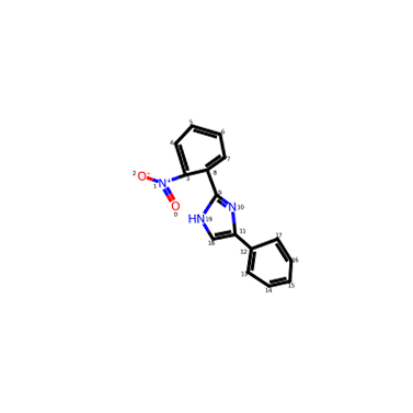 O=[N+]([O-])c1ccccc1-c1nc(-c2ccccc2)c[nH]1